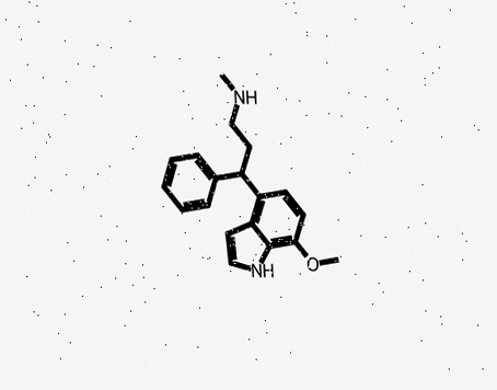 CNCCC(c1ccccc1)c1ccc(OC)c2[nH]ccc12